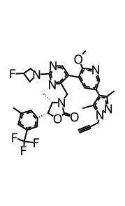 C#CCn1nc(C)c(-c2cnc(OC)c(-c3cnc(N4CC(F)C4)nc3CN3C(=O)O[C@H](c4cc(C)cc(C(F)(F)F)c4)[C@@H]3C)c2)c1C